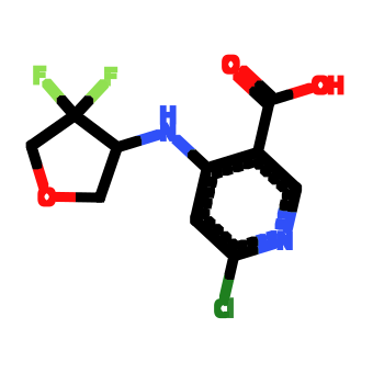 O=C(O)c1cnc(Cl)cc1NC1COCC1(F)F